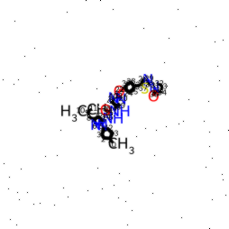 Cc1ccc(-n2nc(CC(C)C)cc2NC(=O)Nc2cnc(Oc3ccc(-c4cnc(N5CCCC5=O)s4)cc3)nc2)cc1